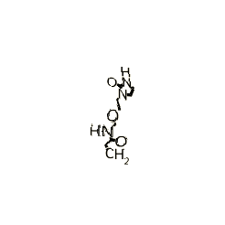 C=CC(=O)NCOCCn1cc[nH]c1=O